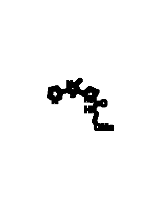 COCCNC(=O)n1ccc(-c2sc(-c3cccnc3)nc2C)n1